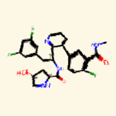 CNC(=O)c1cc(-c2cccnc2[C@H](Cc2cc(F)cc(F)c2)NC(=O)[C@@H]2C[C@@H](O)CN2)ccc1F